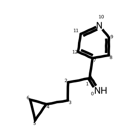 N=C(CCC1CC1)c1ccncc1